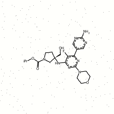 CC(C)OC(=O)N1CC[C@](CO)(Nc2nc(N3CCOCC3)nc(-c3cnc(N)nc3)c2F)C1